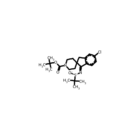 CC(C)(C)OC(=O)N1CCC2(CC1)Cc1cc(Cl)ccc1/C2=N/[S@+]([O-])C(C)(C)C